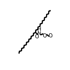 CCCCCCCCCCCCCCC(CCCCCCCCCCCCCC)C(=O)NCCOCCOC